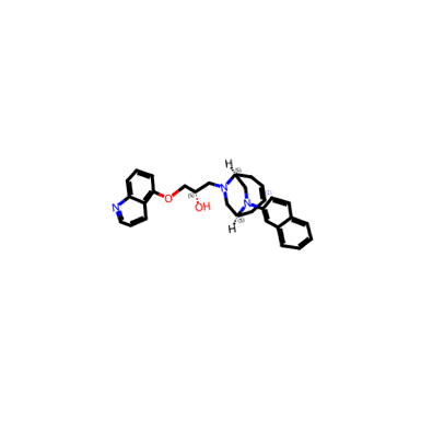 O[C@H](COc1cccc2ncccc12)CN1C[C@@H]2C/C=C\C[C@H]1CN2c1ccc2ccccc2c1